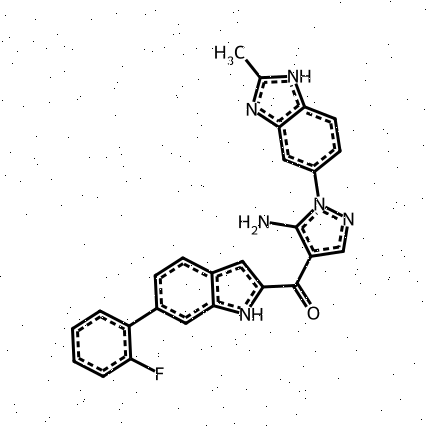 Cc1nc2cc(-n3ncc(C(=O)c4cc5ccc(-c6ccccc6F)cc5[nH]4)c3N)ccc2[nH]1